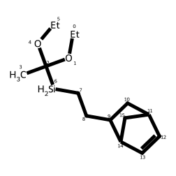 CCOC(C)(OCC)[SiH2]CCC1CC2C=CC1C2